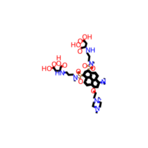 CN1CC[N+](C)(CCOc2cc(N(C)C)c3ccc4c(S(=O)(=O)N(C)CCCNC(CC(=O)O)C(=O)O)cc(S(=O)(=O)N(C)CCCNC(CC(=O)O)C(=O)O)c5ccc2c3c54)CC1